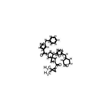 CC1(C)C[C@@H]1C(=O)N1CC2(CN(C(=O)c3cnn(Cc4ccccc4)c3)CC2c2nnc(CC3CCOCC3)o2)C1